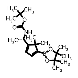 C[C@H](NC(=O)OC(C)(C)C)C1=CC=C(B2OC(C)(C)C(C)(C)O2)C1(C)C